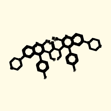 Cc1nc2ccc(N3CCOCC3)cc2c(-c2ccc(F)cc2)c1C(CF)C(=O)C(CF)c1c(C)nc2ccc(N3CCOCC3)cc2c1-c1ccc(F)cc1